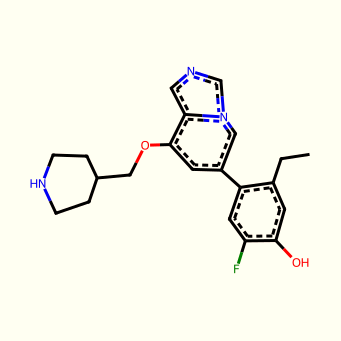 CCc1cc(O)c(F)cc1-c1cc(OCC2CCNCC2)c2cncn2c1